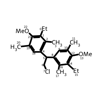 CCc1c(C)c(C(CCl)c2cc(C)c(OC)c(CC)c2C)cc(C)c1OC